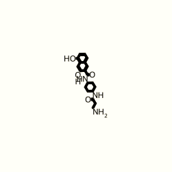 NCCC(=O)N[C@H]1CC[C@H](NC(=O)c2cc3cccc(O)c3cc2O)CC1